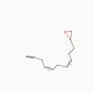 CCCCCCCC/C=C\C/C=C\CCC1CO1